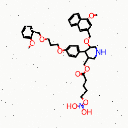 COc1ccccc1COCCCOc1ccc(C2C(COC(=O)CCCCON(O)O)CNCC2OCc2cc(OC)c3ccccc3c2)cc1